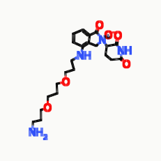 NCCCOCCCOCCCNc1cccc2c1C[N+]([O-])(C1CCC(=O)NC1=O)C2=O